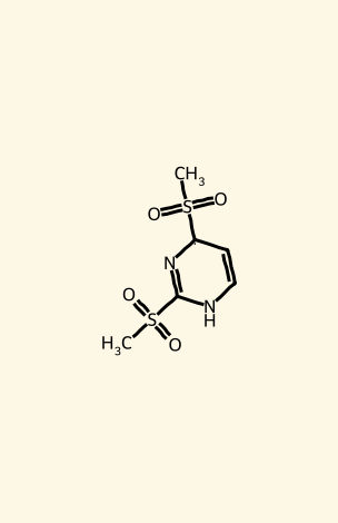 CS(=O)(=O)[C]1C=CNC(S(C)(=O)=O)=N1